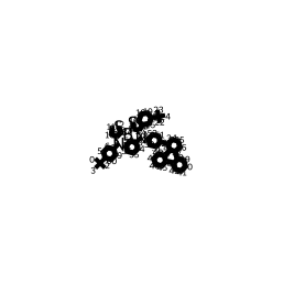 CC(C)(C)c1ccc(N2c3ccsc3B3c4sc5ccc(C(C)(C)C)cc5c4N(c4ccc(-c5cccc6c7ccccc7c7ccccc7c56)cc4)c4cccc2c43)cc1